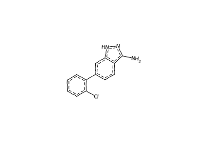 Nc1n[nH]c2cc(-c3ccccc3Cl)ccc12